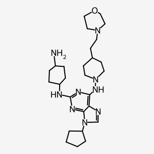 NC1CCC(Nc2nc(NN3CCC(CCN4CCOCC4)CC3)c3ncn(C4CCCC4)c3n2)CC1